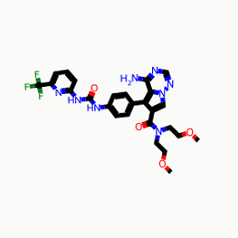 COCCN(CCOC)C(=O)c1cn2ncnc(N)c2c1-c1ccc(NC(=O)Nc2cccc(C(F)(F)F)n2)cc1